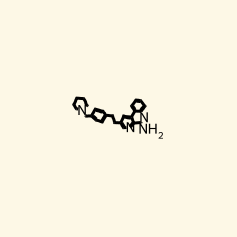 Nc1nc2ccccc2c2cc(CCc3ccc(CN4CCCCC4)cc3)cnc12